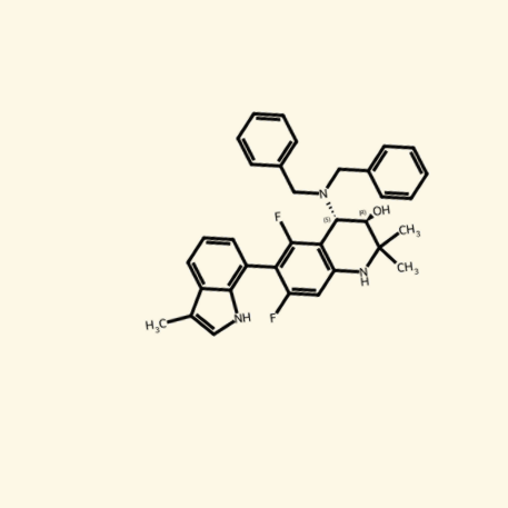 Cc1c[nH]c2c(-c3c(F)cc4c(c3F)[C@H](N(Cc3ccccc3)Cc3ccccc3)[C@@H](O)C(C)(C)N4)cccc12